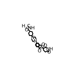 CNC(=O)C1CCC(N2CCN(c3ccc4c(c3)C(=O)N(C3CCC(=O)NC3=O)C4=O)CC2)CC1